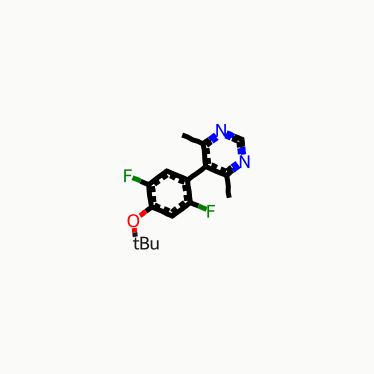 Cc1ncnc(C)c1-c1cc(F)c(OC(C)(C)C)cc1F